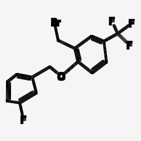 Fc1cccc(COc2ccc(C(F)(F)F)cc2CBr)c1